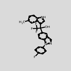 Cc1ccc2[nH]cc(C(O)(c3ccc4c(cnn4-c4ccc(F)cc4)c3)C(F)(F)F)c2c1